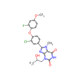 Cn1c(-c2ccc(Oc3ccc(OC(F)(F)F)cc3F)c(Cl)c2)nc2c1c(=O)[nH]c(=O)n2CC(O)C(F)(F)F